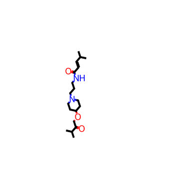 CC(C)/C=C/C(=O)NCCCN1CCC(OCC(=O)C(C)C)CC1